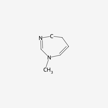 CN1C=CCCN=C1